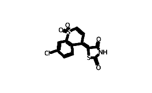 O=C1NC(=O)C(=C2C=CS(=O)(=O)c3cc(Cl)ccc32)S1